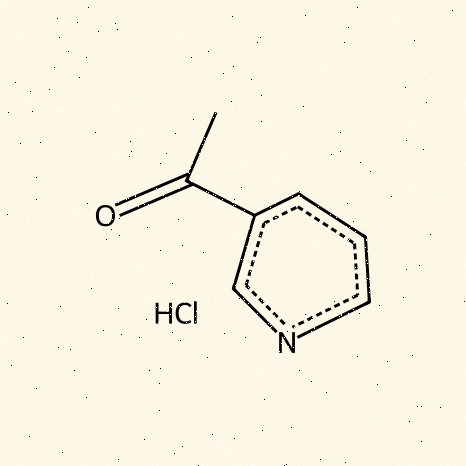 CC(=O)c1cccnc1.Cl